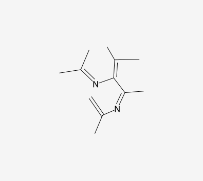 C=C(C)/N=C(/C)C(N=C(C)C)=C(C)C